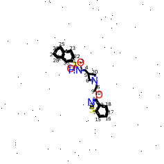 O=S(=O)(NCC1CN(CCOc2nsc3ccccc23)C1)c1ccc2ccccc2c1